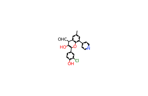 Cc1cc(-c2ccncc2)c2c(c1)C(C=O)C(O)=C(c1ccc(O)c(Cl)c1)O2